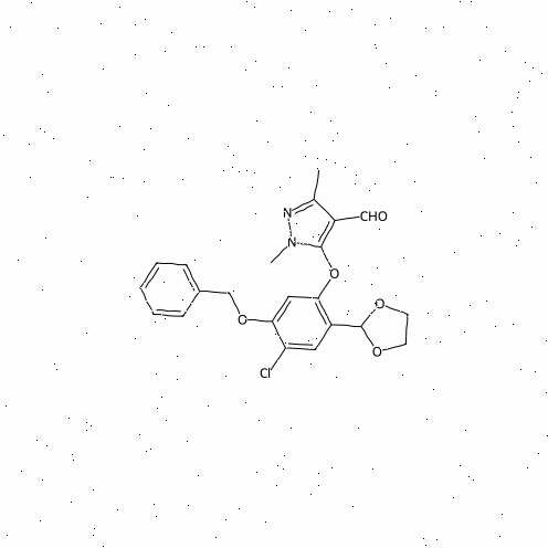 Cc1nn(C)c(Oc2cc(OCc3ccccc3)c(Cl)cc2C2OCCO2)c1C=O